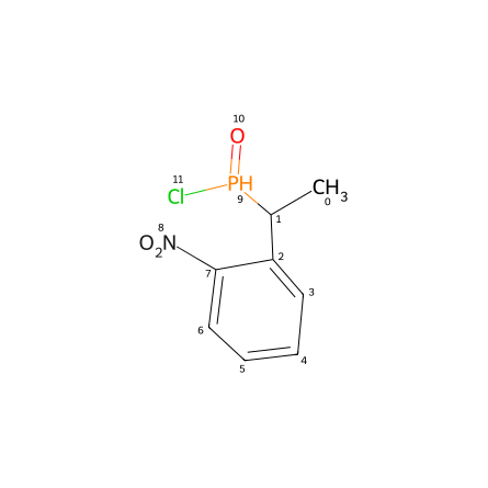 CC(c1ccccc1[N+](=O)[O-])[PH](=O)Cl